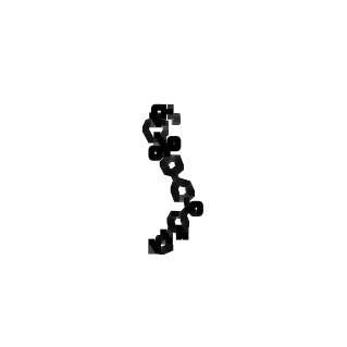 CN1CCCN(S(=O)(=O)c2ccc(-c3ccc(C(=O)c4ccc(-n5ccnc5)nc4)cc3)cc2)CC1